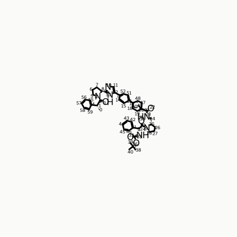 C[C@@H](C(=O)N1CCC[C@H]1c1ncc(-c2ccc(C34CCC(C(=O)NC[C@@H]5CCCN5C(=O)[C@H](NC(=O)OC(C)(C)C)c5ccccc5)(CC3)CC4)cc2)[nH]1)c1ccccc1